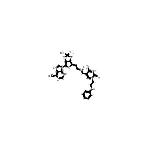 CC1(C)OC2C(CCNCc3cn(CCOc4ccccc4)c(=O)nc3N)OC(n3cnc4c(N)ncnc43)C2O1